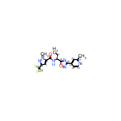 CC[C@H](NC(=O)c1cc(C(F)(F)F)nn1C)c1nc(-c2ccnc(C)c2)no1